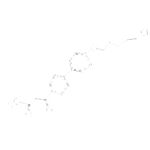 CCCCCCOc1ccc(-c2ccc(C(=O)CC(C)=O)cc2)cc1